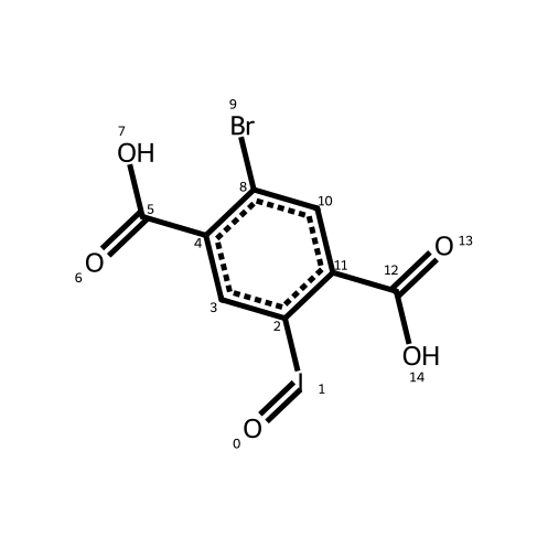 O=Ic1cc(C(=O)O)c(Br)cc1C(=O)O